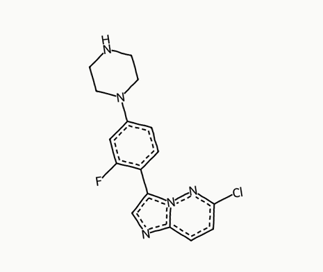 Fc1cc(N2CCNCC2)ccc1-c1cnc2ccc(Cl)nn12